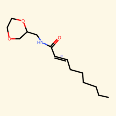 CCCCCC/C=C/C(=O)NCC1COCCO1